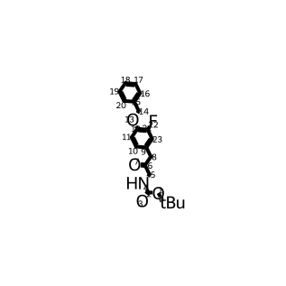 CC(C)(C)OC(=O)NCC(=O)Cc1ccc(OCc2ccccc2)c(F)c1